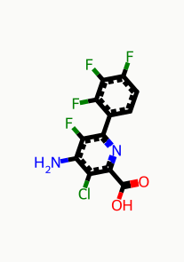 Nc1c(F)c(-c2ccc(F)c(F)c2F)nc(C(=O)O)c1Cl